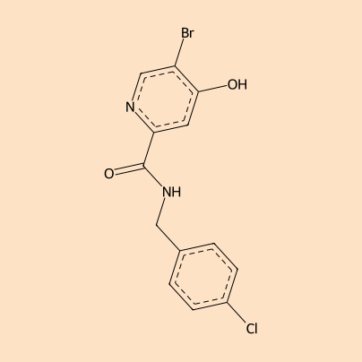 O=C(NCc1ccc(Cl)cc1)c1cc(O)c(Br)cn1